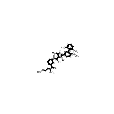 COCCN(C)C(=O)c1cccc(NC(O)c2c(C)[nH]c(-c3ccc(OC)c(-c4c(C)cccc4C)c3)[n+]2[O-])c1